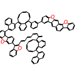 C=C(\C=C/C=C/C=C/c1oc2ccccc2c1-c1ccc2c(c1)oc1cccc(-c3ccc(-c4ccccccc(-c5cccc(-c6ccc7oc8cc9c(ccc%10c%11ccccc%11oc9%10)cc8c7c6)c5)c5ccccc45)c4ccccc34)c12)c1ccccccc(-c2cccc3ccccc23)c2ccccc12